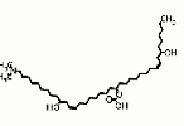 CCCCCCC(O)C/C=C\CCCCCCCC(CCCCCCC/C=C\CC(O)CCCCCCCCCN(C)C)OC(=O)O